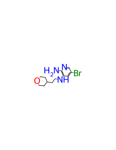 Nc1ncc(Br)cc1NCCC1CCOCC1